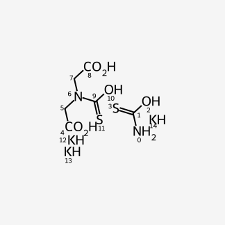 NC(O)=S.O=C(O)CN(CC(=O)O)C(O)=S.[KH].[KH].[KH]